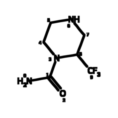 NC(=O)N1CCNCC1C(F)(F)F